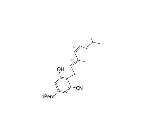 CCCCCc1cc(O)c(C/C=C(C)/C=C\C=C(C)C)c(C#N)c1